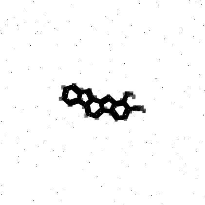 Nc1ccc2c(c1N)C=c1c-2ccc2c1=Cc1ccccc1-2